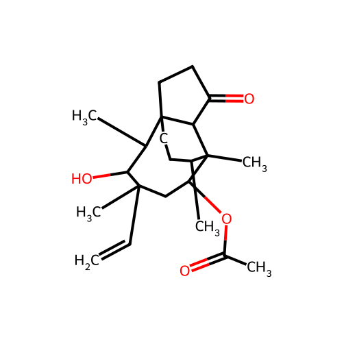 C=CC1(C)CC(OC(C)=O)C2(C)C(C)CCC3(CCC(=O)C32)C(C)C1O